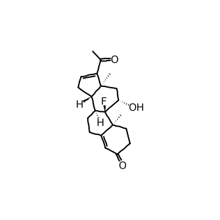 CC(=O)C1=CC[C@H]2[C@@H]3CCC4=CC(=O)CC[C@]4(C)[C@@]3(F)[C@@H](O)C[C@]12C